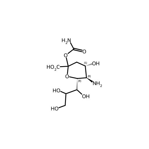 NC(=O)OC1(C(=O)O)C[C@H](O)[C@@H](N)[C@H](C(O)C(O)CO)O1